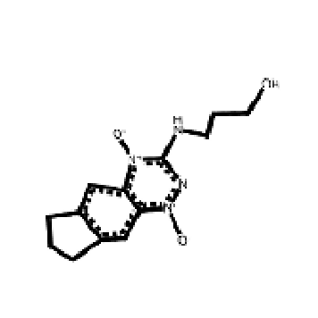 [O-][n+]1nc(NCCCO)[n+]([O-])c2cc3c(cc21)CCC3